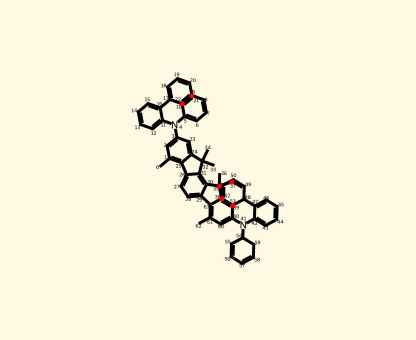 Cc1cc(N(c2ccccc2)c2ccccc2-c2ccccc2)cc2c1-c1ccc3c(c1C2(C)C)C(C)(C)c1cc(N(c2ccccc2C2C=CC=CC2)C2C=CC=CC2)cc(C)c1-3